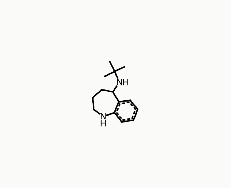 CC(C)(C)NC1CCCNc2ccccc21